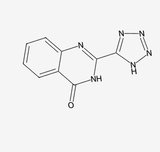 O=c1[nH]c(-c2nnn[nH]2)nc2ccccc12